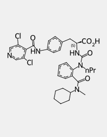 CCCN(C(=O)N[C@@H](Cc1ccc(NC(=O)c2c(Cl)cncc2Cl)cc1)C(=O)O)c1ccccc1C(=O)N(C)C1CCCCC1